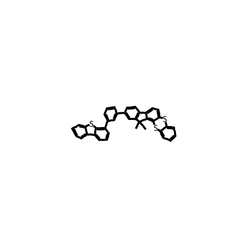 CC1(C)c2cc(-c3cccc(-c4cccc5c4sc4ccccc45)c3)ccc2-c2ccc3c(c21)Sc1ccccc1S3